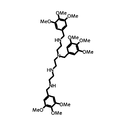 COc1cc(CNCCNCCN(CCNCc2cc(OC)c(OC)c(OC)c2)Cc2cc(OC)c(OC)c(OC)c2)cc(OC)c1OC